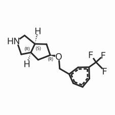 FC(F)(F)c1cccc(CO[C@H]2C[C@H]3CNC[C@H]3C2)c1